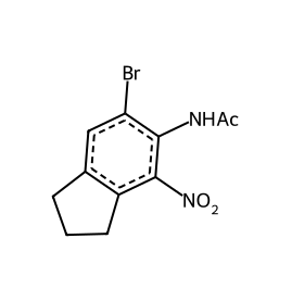 CC(=O)Nc1c(Br)cc2c(c1[N+](=O)[O-])CCC2